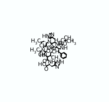 CCC(C)[C@H](NC(=O)N(CC(O)[C@H](CC(C)C)NC(=O)[C@H](Cc1c[nH]cn1)NC(=O)[C@H](Cc1ccccc1)NC(=O)OC(C)(C)C)C(C)C)C(=O)N[C@@H](Cc1c[nH]cn1)C(=O)O